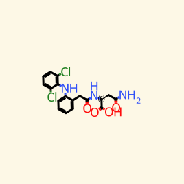 NC(=O)C[C@H](NC(=O)Cc1ccccc1Nc1c(Cl)cccc1Cl)C(=O)O